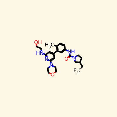 Cc1ccc(NC(=O)N2CCC(CC(F)(F)F)C2)cc1-c1cc(NCCO)nc(N2CCOCC2)c1